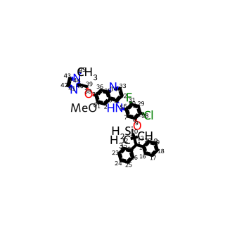 COc1cc2c(Nc3cc(O[SiH2]C(C)(C)C(c4ccccc4)c4ccccc4)c(Cl)cc3F)ccnc2cc1OCc1nccn1C